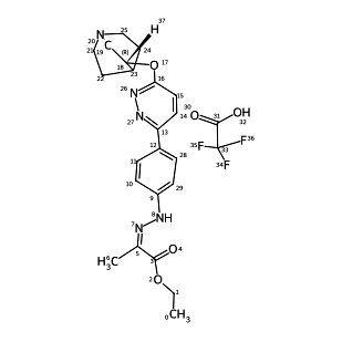 CCOC(=O)C(C)=NNc1ccc(-c2ccc(O[C@H]3CN4CCC3CC4)nn2)cc1.O=C(O)C(F)(F)F